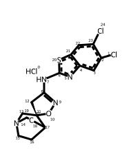 Cl.Clc1cc2nc(NC3=NO[C@@]4(C3)CN3CCC4CC3)sc2cc1Cl